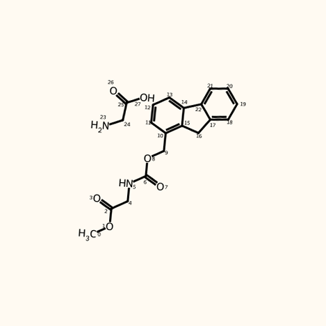 COC(=O)CNC(=O)OCc1cccc2c1Cc1ccccc1-2.NCC(=O)O